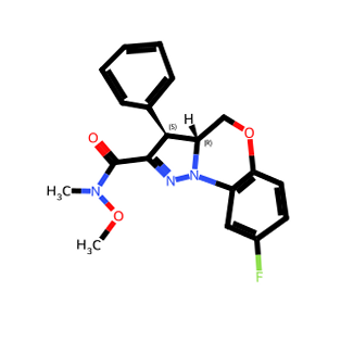 CON(C)C(=O)C1=NN2c3cc(F)ccc3OC[C@H]2[C@@H]1c1ccccc1